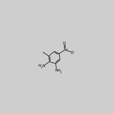 Cc1cc([N+](=O)[O-])cc(N)c1N